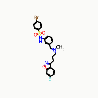 CN(CCCc1noc2cc(F)ccc12)Cc1cccc(NS(=O)(=O)c2ccc(Br)cc2)c1